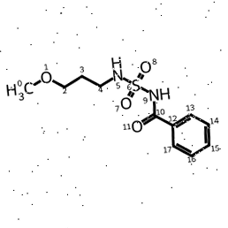 COCCCNS(=O)(=O)NC(=O)c1ccccc1